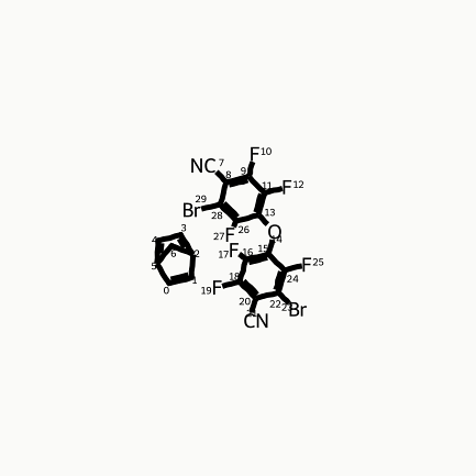 C1=CC2=CC=C1C2.N#Cc1c(F)c(F)c(Oc2c(F)c(F)c(C#N)c(Br)c2F)c(F)c1Br